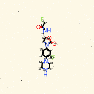 O=C(CF)NC[C@H]1CN(c2ccc(N3CCNCC3)c(F)c2)C(=O)O1